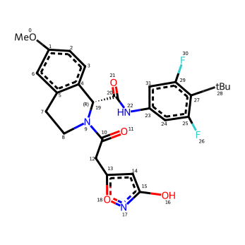 COc1ccc2c(c1)CCN(C(=O)Cc1cc(O)no1)[C@H]2C(=O)Nc1cc(F)c(C(C)(C)C)c(F)c1